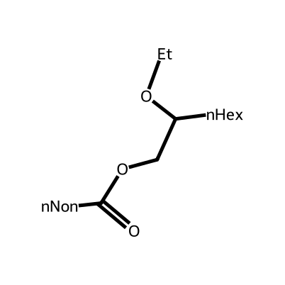 CCCCCCCCCC(=O)OCC(CCCCCC)OCC